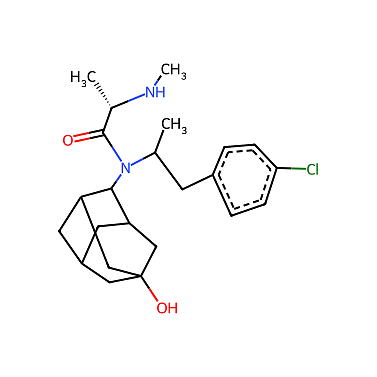 CN[C@@H](C)C(=O)N(C(C)Cc1ccc(Cl)cc1)C1C2CC3CC1CC(O)(C3)C2